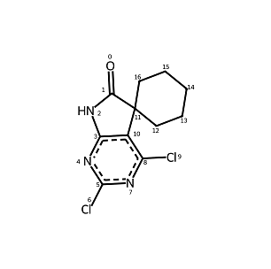 O=C1Nc2nc(Cl)nc(Cl)c2C12CCCCC2